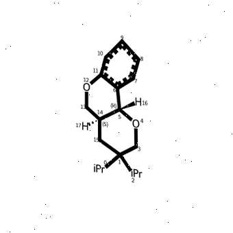 CC(C)C1(C(C)C)CO[C@H]2c3ccccc3OC[C@@H]2C1